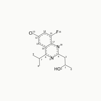 CC(O)Cc1nc(C(C)C)c2cc(Cl)cc(F)c2n1